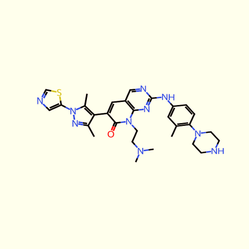 Cc1cc(Nc2ncc3cc(-c4c(C)nn(-c5cncs5)c4C)c(=O)n(CCN(C)C)c3n2)ccc1N1CCNCC1